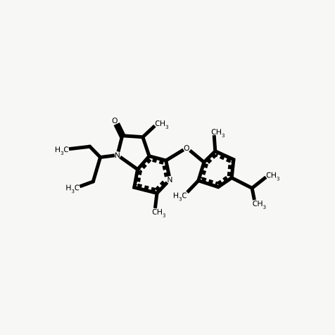 CCC(CC)N1C(=O)C(C)c2c1cc(C)nc2Oc1c(C)cc(C(C)C)cc1C